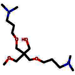 COCC(CO)(COCCCN(C)C)COCCCN(C)C